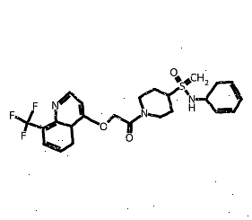 C=S(=O)(NC1C=CC=CC1)C1CCN(C(=O)COC2=CC=NC3=C(C(F)(F)F)C=CCC23)CC1